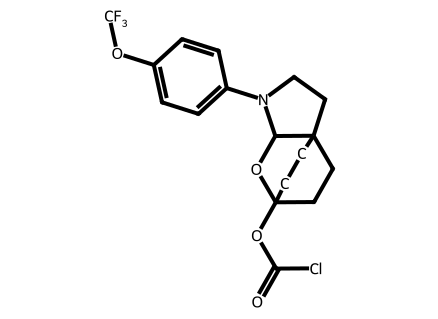 O=C(Cl)OC12CCC3(CCN(c4ccc(OC(F)(F)F)cc4)C3O1)CC2